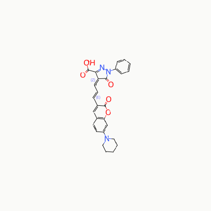 O=C(O)C1=NN(c2ccccc2)C(=O)/C1=C\C=C\c1cc2ccc(N3CCCCC3)cc2oc1=O